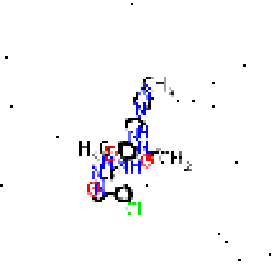 C=CC(=O)Nc1cc(Nc2cc(N3OCCC3c3cccc(Cl)c3)ncn2)c(OC)cc1N1CCC(N2CCN(C)CC2)CC1